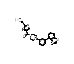 C#Cc1nc(C(=O)N2CCN(c3cccc(-c4cccc5ncsc45)c3)CC2)cs1